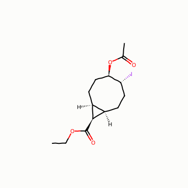 CCOC(=O)[C@@H]1[C@@H]2CC[C@@H](I)[C@H](OC(C)=O)CC[C@@H]21